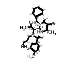 CC1=C(Br)C(=O)N(Cc2ccccc2)[C@H](C(C(C)C)N(CCCN)C(=O)c2ccc(C)cc2)N1